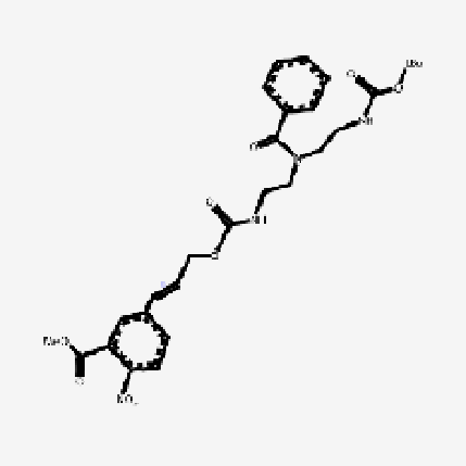 COC(=O)c1cc(/C=C/COC(=O)NCCN(CCNC(=O)OC(C)(C)C)C(=O)c2ccccc2)ccc1[N+](=O)[O-]